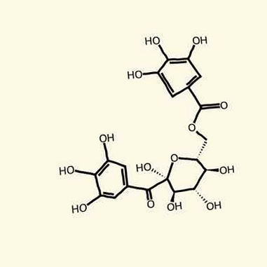 O=C(OC[C@H]1O[C@](O)(C(=O)c2cc(O)c(O)c(O)c2)[C@H](O)[C@@H](O)[C@@H]1O)c1cc(O)c(O)c(O)c1